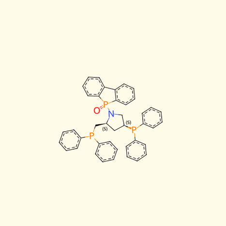 O=P1(N2C[C@@H](P(c3ccccc3)c3ccccc3)C[C@H]2CP(c2ccccc2)c2ccccc2)c2ccccc2-c2ccccc21